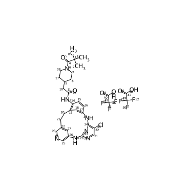 CC(C)(C)C(=O)N1CCC(CC(=O)Nc2ccc3cc2CCc2cncc(c2)Nc2ncc(Cl)c(n2)N3)CC1.O=C(O)C(F)(F)F.O=C(O)C(F)(F)F